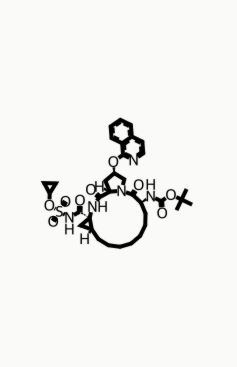 CC(C)(C)OC(=O)N[C@H]1CCCCCCC[C@@H]2C[C@@]2(C(=O)NS(=O)(=O)OC2CC2)NC(=O)[C@@H]2C[C@@H](Oc3nccc4ccccc34)CN2C1=O